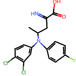 CC(CC(=N)C(=O)O)N(c1ccc(F)cc1)c1ccc(Cl)c(Cl)c1